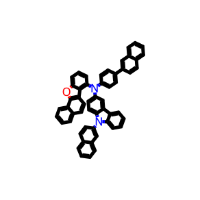 c1ccc2cc(-c3ccc(N(c4ccc5c(c4)c4ccccc4n5-c4ccc5ccccc5c4)c4cccc5oc6c7ccccc7ccc6c45)cc3)ccc2c1